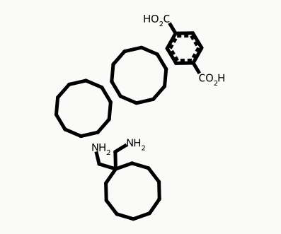 C1CCCCCCCCC1.C1CCCCCCCCC1.NCC1(CN)CCCCCCCCC1.O=C(O)c1ccc(C(=O)O)cc1